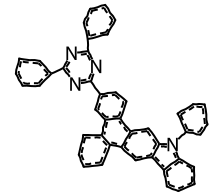 c1ccc(-c2nc(-c3ccccc3)nc(-c3ccc4c(c3)c3ccccc3c3cc5c6ccccc6n(-c6ccccc6)c5cc43)n2)cc1